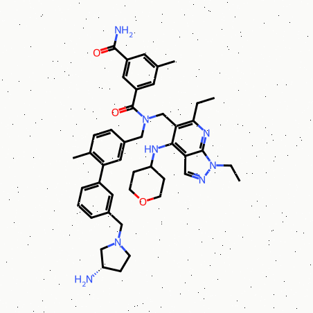 CCc1nc2c(cnn2CC)c(NC2CCOCC2)c1CN(Cc1ccc(C)c(-c2cccc(CN3CC[C@H](N)C3)c2)c1)C(=O)c1cc(C)cc(C(N)=O)c1